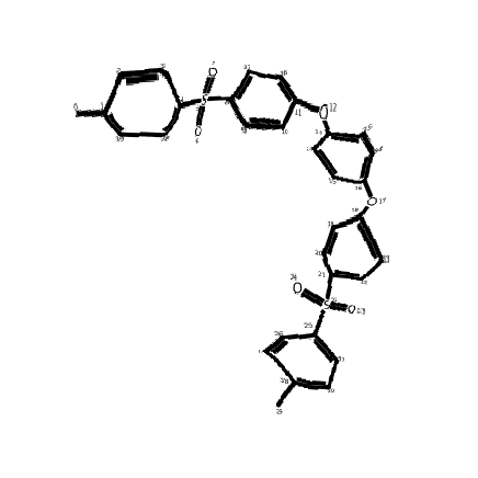 Cc1ccc(S(=O)(=O)c2ccc(Oc3ccc(Oc4ccc(S(=O)(=O)c5ccc(C)cc5)cc4)cc3)cc2)cc1